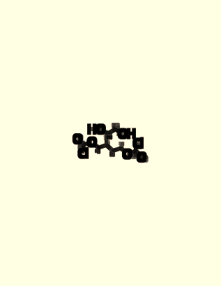 O=C(Cl)OCCCCOC(=O)Cl.OCCO